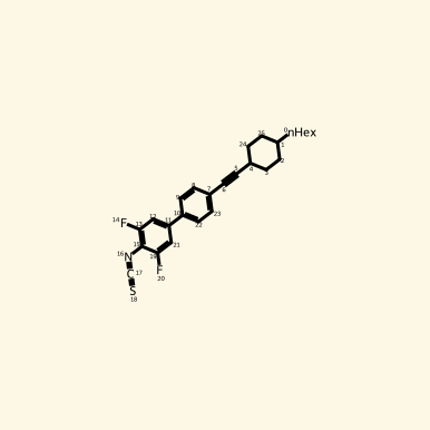 CCCCCCC1CCC(C#Cc2ccc(-c3cc(F)c(N=C=S)c(F)c3)cc2)CC1